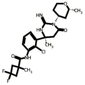 C[C@@H]1C[C@H](N2C(=N)N[C@](C)(c3cccc(NC(=O)C4(C)CC(F)(F)C4)c3Cl)CC2=O)CCO1